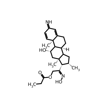 CCC(=O)OC/C(=N\O)[C@H]1[C@@H](C)CC2[C@@H]3CCC4=CC(=N)C=C[C@]4(C)C3[C@@H](O)C[C@@]21C